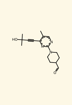 Cc1cnc(N2CCC(C=O)CC2)nc1C#CC(C)(C)O